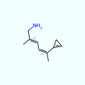 C/C(=C/C=C(\C)CN)C1=CC1